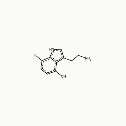 NCCc1c[nH]c2c(F)ccc(O)c12